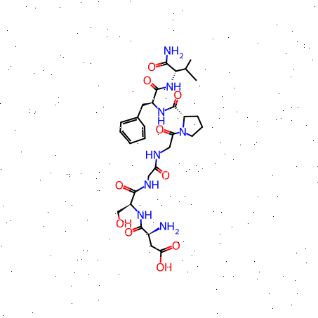 CC(C)[C@H](NC(=O)[C@H](Cc1ccccc1)NC(=O)[C@@H]1CCCN1C(=O)CNC(=O)CNC(=O)[C@H](CO)NC(=O)[C@@H](N)CC(=O)O)C(N)=O